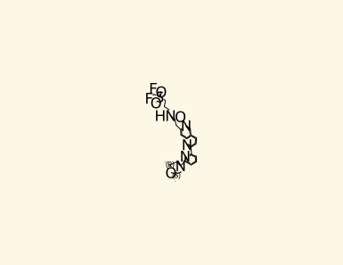 C[C@@H]1CN(c2cccc(-c3ccc4cnc(CC(=O)NCCCS(=O)(=O)C(F)F)cc4n3)n2)C[C@H](C)O1